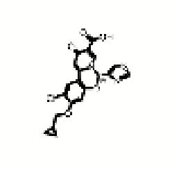 O=C(O)c1cn2c(cc1=O)-c1cc(Cl)c(OCC3CC3)cc1O[C@@H]2c1cscn1